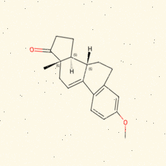 COc1ccc2c(c1)CC[C@@H]1C2=CC[C@]2(C)C(=O)CC[C@@H]12